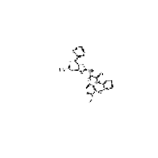 COc1ccccc1Oc1ccccc1NC(=O)C(=O)Nc1nc(CC(=O)O)c(Sc2ccccn2)s1